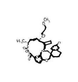 COCCO[C@H]1/C=C/C[C@@H](C)CS(=O)(=O)NC(=O)c2ccc3c(c2)N(CC2CCC21)C[C@@]1(CCCc2cc(Cl)ccc21)CO3